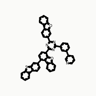 c1cncc(-c2cccc(-c3nc(-c4ccc5c(c4)oc4ccccc45)nc(-c4ccc(-c5ccc6c(c5)sc5ccccc56)c5c4oc4ccccc45)n3)c2)c1